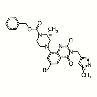 C[C@@H]1CN(c2cc(Br)cc3c(=O)n(Cc4cnn(C)c4)c(Cl)nc23)CCN1C(=O)OCc1ccccc1